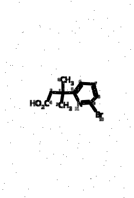 CC(C)(CC(=O)O)c1cccc(Br)n1